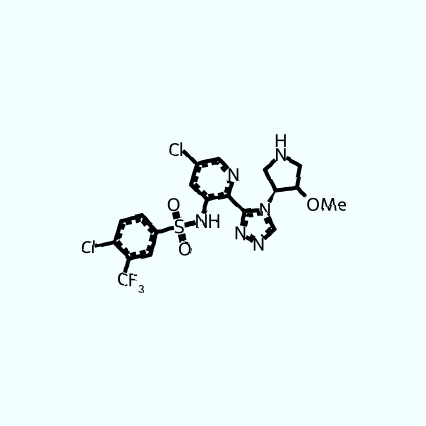 COC1CNC[C@@H]1n1cnnc1-c1ncc(Cl)cc1NS(=O)(=O)c1ccc(Cl)c(C(F)(F)F)c1